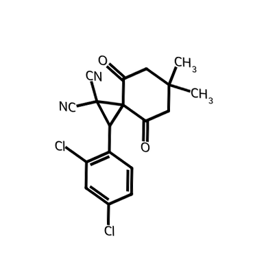 CC1(C)CC(=O)C2(C(=O)C1)C(c1ccc(Cl)cc1Cl)C2(C#N)C#N